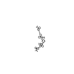 C=C(C)C(=O)OCCCCOC(=O)NCc1cccc(CNC(=O)OCCOC(=O)C(=C)C)c1